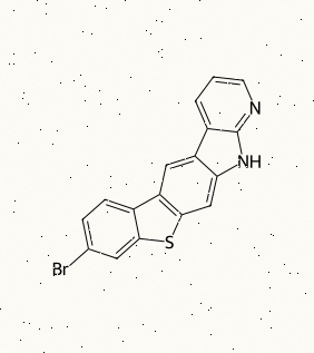 Brc1ccc2c(c1)sc1cc3[nH]c4ncccc4c3cc12